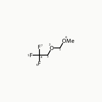 [CH2]OCOCC(F)(F)F